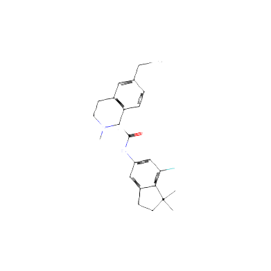 COCc1ccc2c(c1)CCN(C(=O)O)[C@@H]2C(=O)Nc1cc(F)c2c(c1)CCC2(C)C